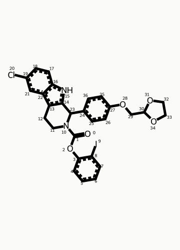 O=C(Oc1ccccc1I)N1CCc2c([nH]c3ccc(Cl)cc23)C1c1ccc(OCC2OCCO2)cc1